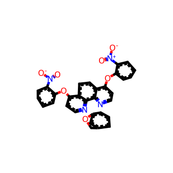 O=[N+]([O-])c1ccccc1Oc1ccnc2c1ccc1c(Oc3ccccc3[N+](=O)[O-])ccnc12.c1cc2cc(c1)OC2